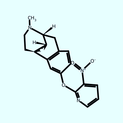 CN1CC[C@]23CCCC[C@H]2[C@H]1Cc1ccc(Oc2ncccc2[N+](=O)[O-])cc13